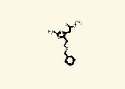 COC(=O)Cc1nc(N)sc1CCOCc1ccccc1